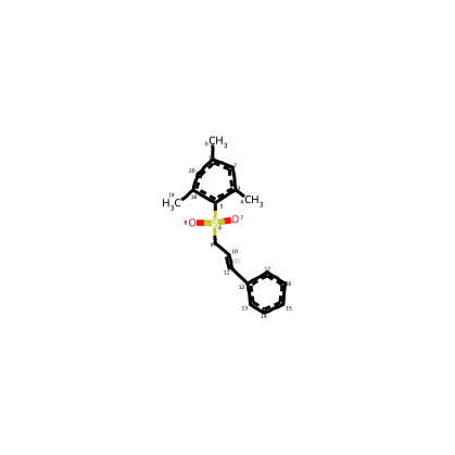 Cc1cc(C)c(S(=O)(=O)C/C=C/c2ccccc2)c(C)c1